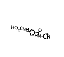 O=C(O)NCc1ccc(C(=O)Nc2ccncc2)cc1